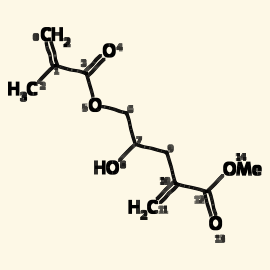 C=C(C)C(=O)OCC(O)CC(=C)C(=O)OC